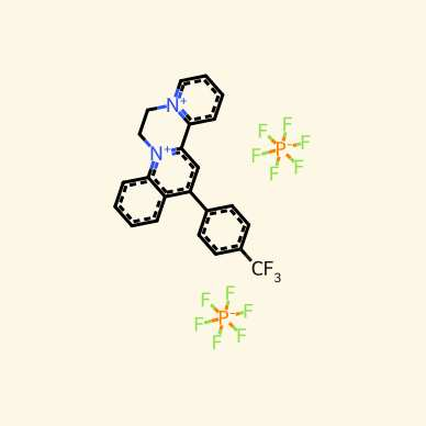 FC(F)(F)c1ccc(-c2cc3[n+](c4ccccc24)CC[n+]2ccccc2-3)cc1.F[P-](F)(F)(F)(F)F.F[P-](F)(F)(F)(F)F